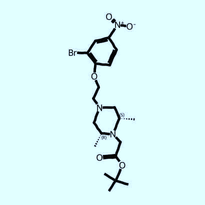 C[C@@H]1CN(CCOc2ccc([N+](=O)[O-])cc2Br)C[C@H](C)N1CC(=O)OC(C)(C)C